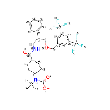 CC(C)(C)N(C(=O)O)C1CCC(C(=O)NCC(COCc2cc(C(F)(F)F)cc(C(F)(F)F)c2)c2ccccc2)CC1